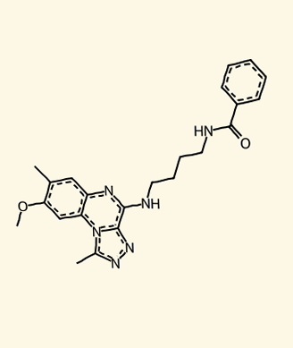 COc1cc2c(cc1C)nc(NCCCCNC(=O)c1ccccc1)c1nnc(C)n12